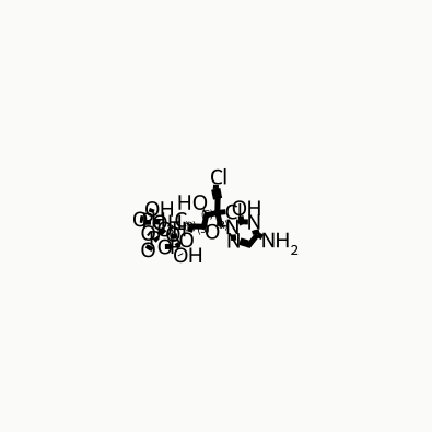 C[C@@H](OP(=O)(O)OP(=O)(O)OP(=O)(O)O)[C@H]1O[C@@H](N2N=CC(N)=NC2O)C(Cl)(C#CCl)[C@H]1O